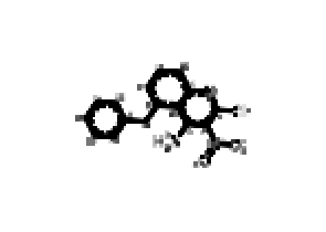 Nc1c([N+](=O)[O-])c(Cl)nc2cccc(Cc3ccccc3)c12